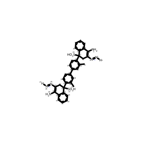 [H]/N=N/C1=C(N)c2ccccc2C(c2ccc(-c3ccc(C4(S(=O)(=O)O)CC(/N=N/[H])=C(N)c5ccccc54)c(C)c3)cc2C)(S(=O)(=O)O)C1